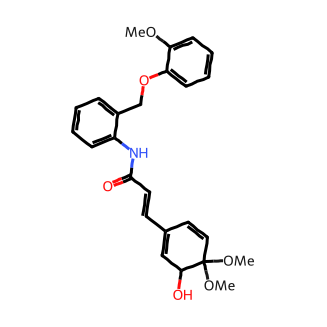 COc1ccccc1OCc1ccccc1NC(=O)C=CC1=CC(O)C(OC)(OC)C=C1